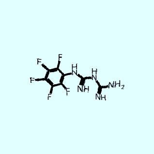 N=C(N)NC(=N)Nc1c(F)c(F)c(F)c(F)c1F